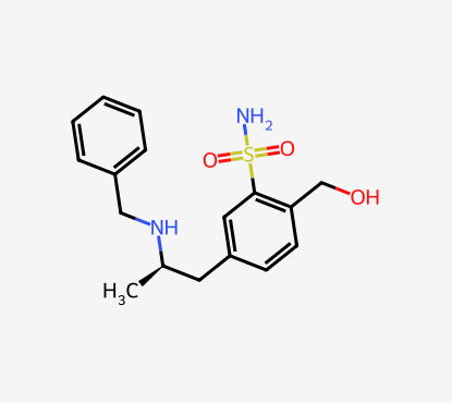 C[C@H](Cc1ccc(CO)c(S(N)(=O)=O)c1)NCc1ccccc1